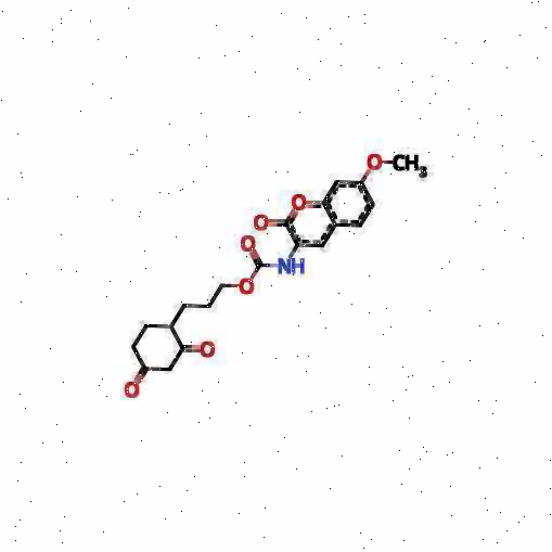 COc1ccc2cc(NC(=O)OCCCC3CCC(=O)CC3=O)c(=O)oc2c1